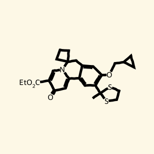 CCOC(=O)c1cn2c(cc1=O)-c1cc(C3(C)SCCS3)c(OCC3CC3)cc1CC21CCC1